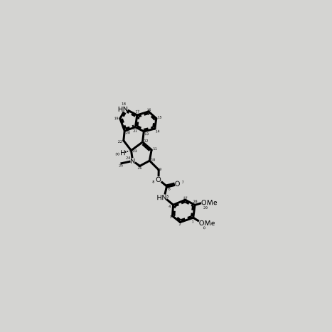 COc1ccc(NC(=O)OCC2C=C3c4cccc5[nH]cc(c45)C[C@@H]3N(C)C2)cc1OC